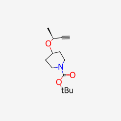 C#C[C@H](C)OC1CCN(C(=O)OC(C)(C)C)CC1